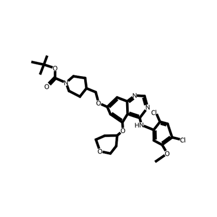 COc1cc(Nc2ncnc3cc(OCC4CCN(C(=O)OC(C)(C)C)CC4)cc(OC4CCOCC4)c23)c(Cl)cc1Cl